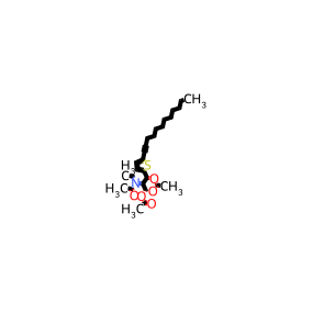 CCCCCCCCCCC#Cc1ccc(C(OC(C)=O)C(COC(C)=O)N(CC)C(C)=O)s1